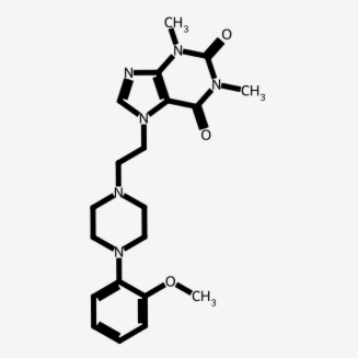 COc1ccccc1N1CCN(CCn2cnc3c2c(=O)n(C)c(=O)n3C)CC1